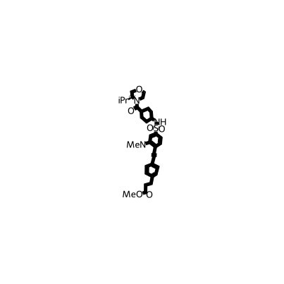 CNc1cc(S(=O)(=O)NC2CCC(C(=O)N3CCOC[C@@H]3C(C)C)CC2)ccc1C#Cc1ccc(CCC(=O)OC)cc1